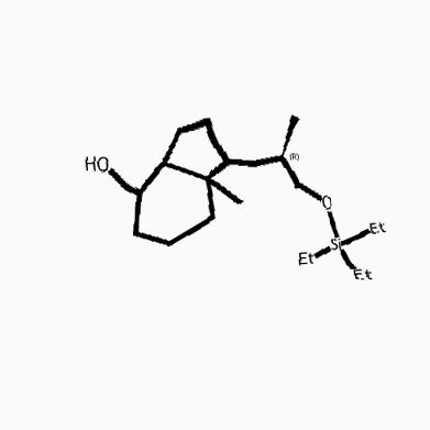 CC[Si](CC)(CC)OC[C@H](C)C1CCC2C(O)CCCC21C